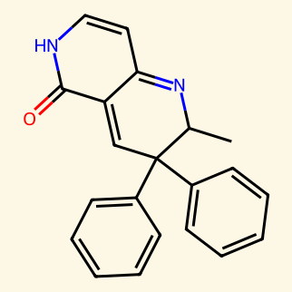 CC1N=c2cc[nH]c(=O)c2=CC1(c1ccccc1)c1ccccc1